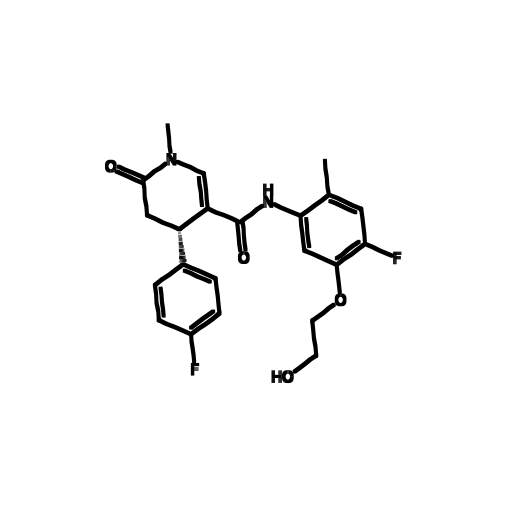 Cc1cc(F)c(OCCO)cc1NC(=O)C1=CN(C)C(=O)C[C@H]1c1ccc(F)cc1